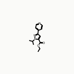 CCOC(=O)c1cc(-c2ccncc2)nn1C(C)C